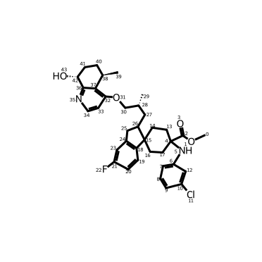 COC(=O)C1(Nc2cccc(Cl)c2)CCC2(CC1)c1ccc(F)cc1CC2C[C@@H](C)COc1ccnc2c1[C@H](C)CC[C@H]2O